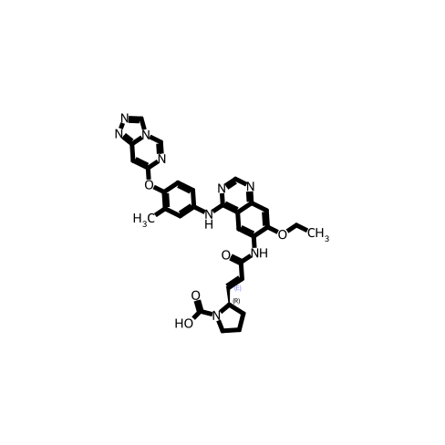 CCOc1cc2ncnc(Nc3ccc(Oc4cc5nncn5cn4)c(C)c3)c2cc1NC(=O)/C=C/[C@H]1CCCN1C(=O)O